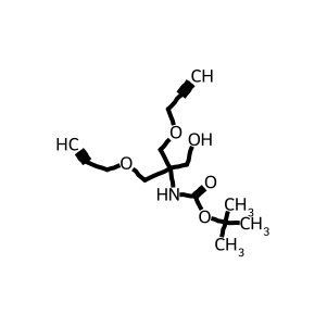 C#CCOCC(CO)(COCC#C)NC(=O)OC(C)(C)C